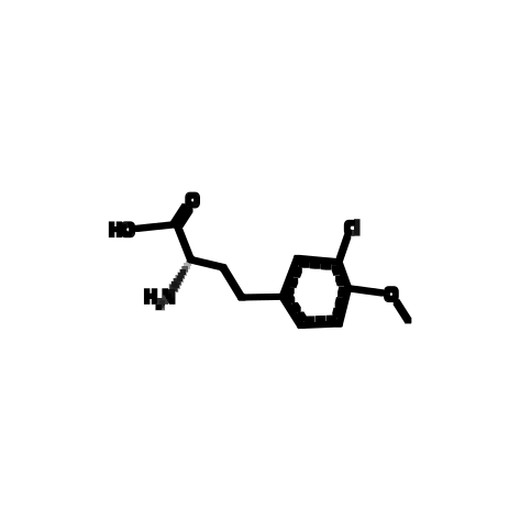 COc1ccc(CC[C@H](N)C(=O)O)cc1Cl